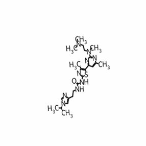 Cc1cc(-c2sc(NC(=O)NCCc3cn(C(C)C)cn3)nc2C)nc(N(C)CCN(C)C)n1